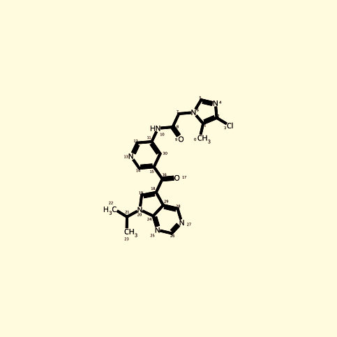 Cc1c(Cl)ncn1CC(=O)Nc1cncc(C(=O)c2cn(C(C)C)c3ncncc23)c1